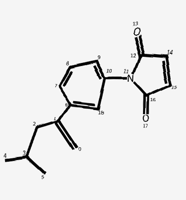 C=C(CC(C)C)c1cccc(N2C(=O)C=CC2=O)c1